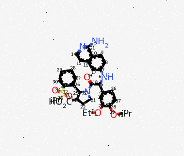 CCOc1cc(C(Nc2ccc3c(N)nccc3c2)C(=O)N2CCC(C(=O)O)C2c2ccccc2S(=O)(=O)C(C)C)ccc1OC(C)C